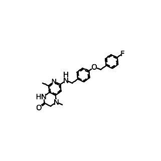 Cc1nc(NCc2ccc(OCc3ccc(F)cc3)cc2)cc2c1NC(=O)CN2C